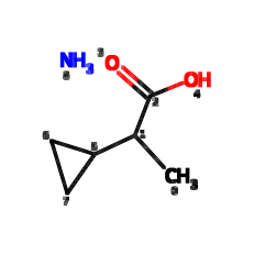 CC(C(=O)O)C1CC1.N